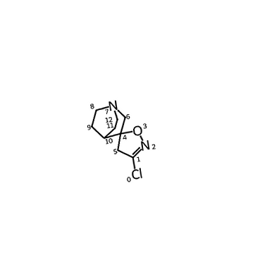 ClC1=NOC2(C1)CN1CCC2CC1